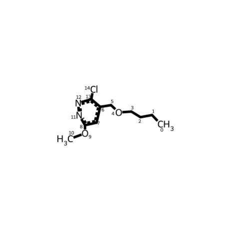 CCCCOCc1cc(OC)nnc1Cl